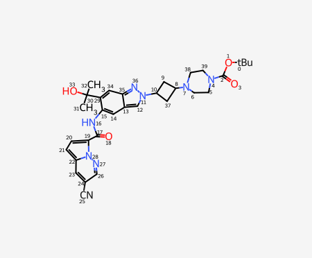 CC(C)(C)OC(=O)N1CCN(C2CC(n3cc4cc(NC(=O)c5ccc6cc(C#N)cnn56)c(C(C)(C)O)cc4n3)C2)CC1